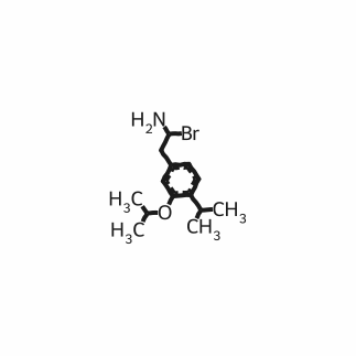 CC(C)Oc1cc(CC(N)Br)ccc1C(C)C